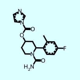 Cc1cc(F)ccc1C1CC(OC(=O)n2ccnc2)CCN1C(N)=O